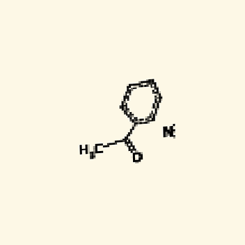 CC(=O)c1ccccc1.[N]